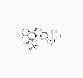 Cc1cc(C(F)(C(F)(F)F)C(F)(F)F)ccc1N(C(=O)c1cccc(I)c1C(N)=O)C(C)(C)CS(C)(=O)=O